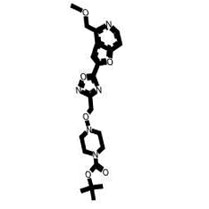 COCc1nccc2oc(-c3nc(CON4CCN(C(=O)OC(C)(C)C)CC4)no3)cc12